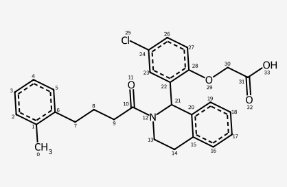 Cc1ccccc1CCCC(=O)N1CCc2ccccc2C1c1cc(Cl)ccc1OCC(=O)O